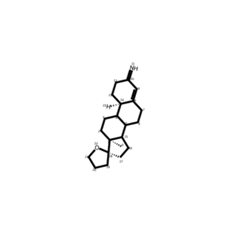 C[C@]12CCC3C(CCC4=CC(=N)CC[C@@H]43)C1CC[C@@]21CCCO1